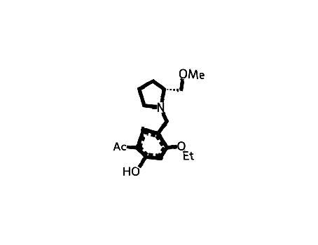 CCOc1cc(O)c(C(C)=O)cc1CN1CCC[C@@H]1COC